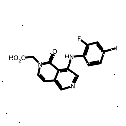 O=C(O)Cn1ccc2cncc(Nc3ccc(I)cc3F)c2c1=O